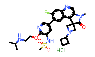 CC(C)NCCOc1ncc(-c2cc3c4c(cnc3cc2F)N(C)C(=O)C42CN(C3CCC3)C2)cc1NS(C)(=O)=O.Cl